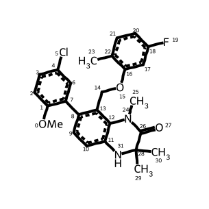 COc1ccc(Cl)cc1-c1ccc2c(c1COc1cc(F)ccc1C)N(C)C(=O)C(C)(C)N2